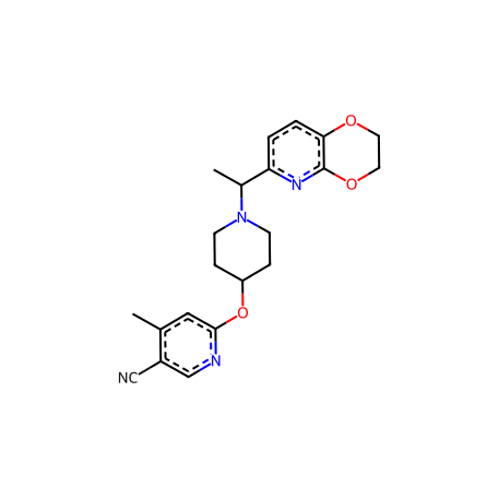 Cc1cc(OC2CCN(C(C)c3ccc4c(n3)OCCO4)CC2)ncc1C#N